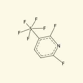 Fc1ccc(S(F)(F)(F)(F)F)c(F)n1